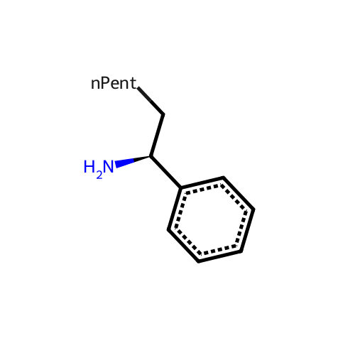 [CH2]CCCCC[C@H](N)c1ccccc1